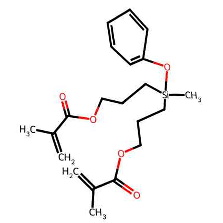 C=C(C)C(=O)OCCC[Si](C)(CCCOC(=O)C(=C)C)Oc1ccccc1